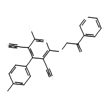 N#Cc1c(N)nc(SCC(=O)c2cccnc2)c(C#N)c1-c1ccc(Cl)cc1